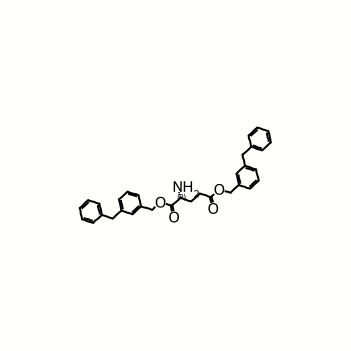 N[C@H](CCC(=O)OCc1cccc(Cc2ccccc2)c1)C(=O)OCc1cccc(Cc2ccccc2)c1